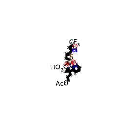 CC(=O)OCCCC1(c2ccccc2)CC1(NS(=O)(=O)C1CC=C(c2cc(C(F)(F)F)on2)S1)C(=O)O